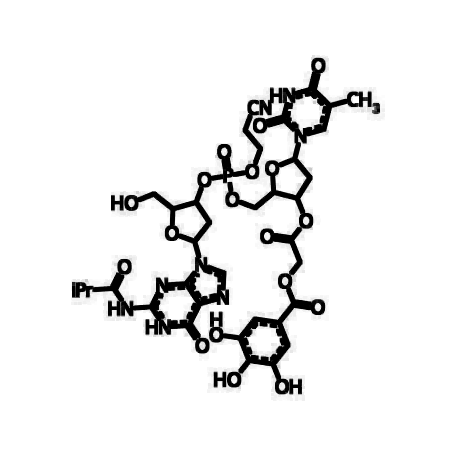 Cc1cn(C2CC(OC(=O)COC(=O)c3cc(O)c(O)c(O)c3)C(COP(=O)(OCCC#N)OC3CC(n4cnc5c(=O)[nH]c(NC(=O)C(C)C)nc54)OC3CO)O2)c(=O)[nH]c1=O